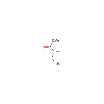 CCCCCC(I)C(=O)OC